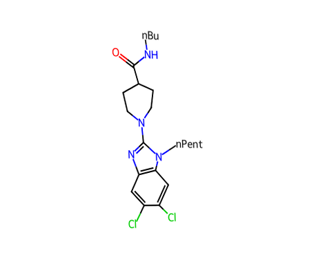 CCCCCn1c(N2CCC(C(=O)NCCCC)CC2)nc2cc(Cl)c(Cl)cc21